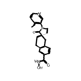 Cc1ccncc1N1CC[C@]2(CCc3cc(C(=O)NO)ccc3C2)C1=O